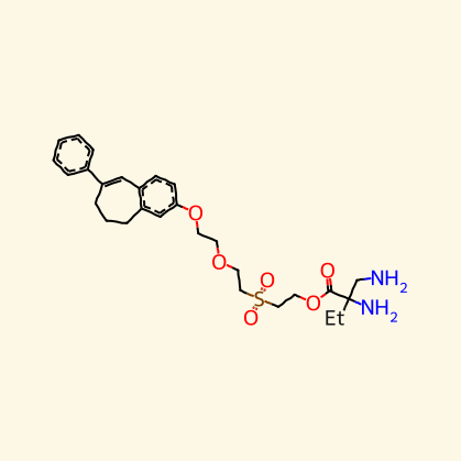 CCC(N)(CN)C(=O)OCCS(=O)(=O)CCOCCOc1ccc2c(c1)CCCC(c1ccccc1)=C2